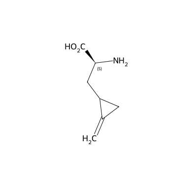 C=C1CC1C[C@H](N)C(=O)O